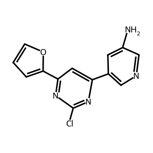 Nc1cncc(-c2cc(-c3ccco3)nc(Cl)n2)c1